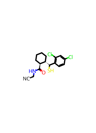 N#CCNC(=O)[C@H]1CCCC[C@@H]1C(S)c1ccc(Cl)cc1Cl